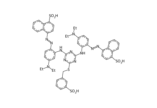 CCN(CC)c1ccc(/N=N/c2ccc(S(=O)(=O)O)c3ccccc23)c(Nc2nc(Nc3cc(N(CC)CC)ccc3/N=N/c3ccc(S(=O)(=O)O)c4ccccc34)nc(SCc3cccc(S(=O)(=O)O)c3)n2)c1